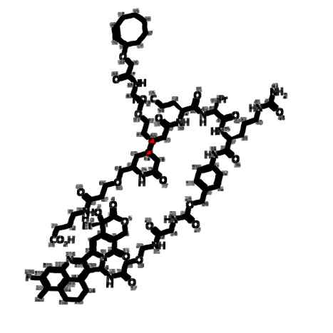 CC[C@@]1(O)C(=O)OCc2c1cc1n(c2=O)C(NC(=O)COCNC(=O)CNC(=O)OCc2ccc(NC(=O)[C@H](CCCNC(N)=O)NC(=O)[C@@H](NC(=O)[C@H](CCC(=O)O)NC(=O)CCOCC(COCCC(=O)NCCCC(=O)O)NC(=O)CCOCCOCCNC(=O)COC3C#CCCCCC3)C(C)C)cc2)c2c-1nc1cc(F)c(C)c3c1c2CCC3